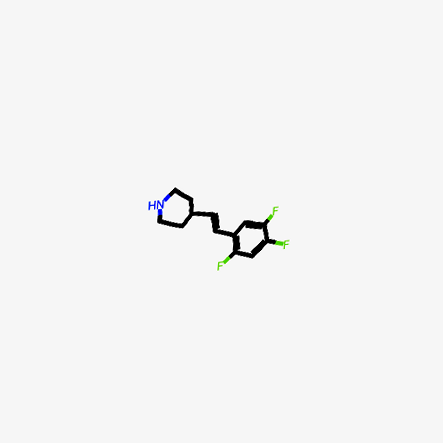 Fc1cc(F)c(/C=C/C2CCNCC2)cc1F